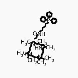 C=Cc1c(C)c2cc3nc(c(C)c4cc(C)c(cc5nc(cc1[nH]2)C(C)=C5CC)[nH]4)[C@@H](CCC(=O)NCCCCCC[PH](c1ccccc1)(c1ccccc1)c1ccccc1)[C@@H]3C